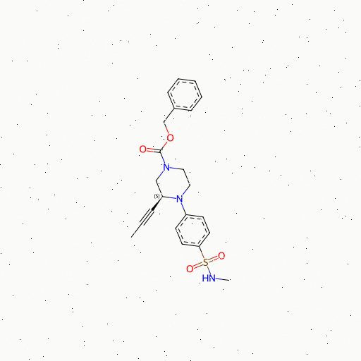 CC#C[C@H]1CN(C(=O)OCc2ccccc2)CCN1c1ccc(S(=O)(=O)NC)cc1